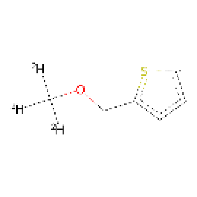 [2H]C([2H])([2H])OCc1cc[c]s1